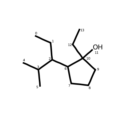 CCC(C(C)C)C1CCCC1(O)CC